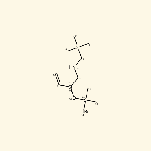 C=C[SiH](CNC[Si](C)(C)C)O[Si](C)(C)C(C)(C)C